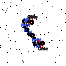 COC(=O)N[C@@H](C(=O)N1CCC[C@H]1c1nc(-c2ccc3nc(-c4ccc(-c5cnc([C@@H]6CCCN6C(=O)[C@H](NC(=O)OC)c6ccccc6)[nH]5)nc4)ccc3c2)c[nH]1)c1ccccc1